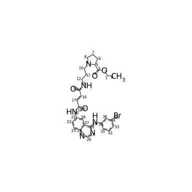 CCOC(=O)C1CCCN1CCCNC(=O)/C=C/C(=O)Nc1ccc2ncnc(Nc3cccc(Br)c3)c2c1